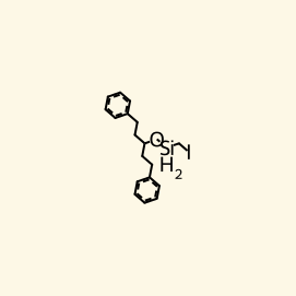 IC[SiH2]OC(CCc1ccccc1)CCc1ccccc1